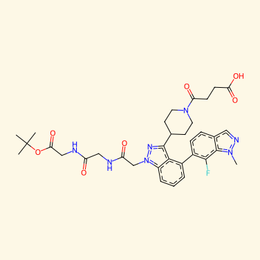 Cn1ncc2ccc(-c3cccc4c3c(C3CCN(C(=O)CCC(=O)O)CC3)nn4CC(=O)NCC(=O)NCC(=O)OC(C)(C)C)c(F)c21